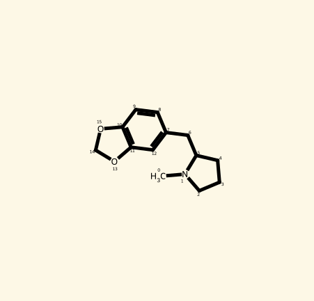 CN1CCCC1Cc1ccc2c(c1)OCO2